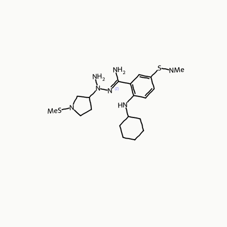 CNSc1ccc(NC2CCCCC2)c(/C(N)=N/N(N)C2CCN(SC)C2)c1